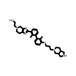 Cc1c(OCCCN2CCC3CNCC3C2)cccc1-c1cccc(-c2nc3c(s2)CN(CCO)CC3)c1C